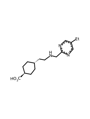 CCc1cnc(CNCC[C@H]2CC[C@H](C(=O)O)CC2)nc1